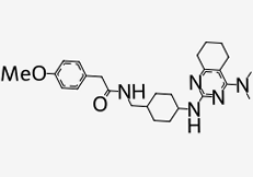 COc1ccc(CC(=O)NCC2CCC(Nc3nc4c(c(N(C)C)n3)CCCC4)CC2)cc1